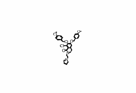 COc1ccc(COc2cc3c(c(Cl)c2OCc2ccc(OC)cc2)C(=O)N(CCN2CCCC2)CC3)cc1